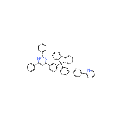 c1ccc(-c2cc(-c3cccc(C4(c5cccc(-c6ccc(-c7ccccn7)cc6)c5)c5ccccc5-c5ccccc54)c3)nc(-c3ccccc3)n2)cc1